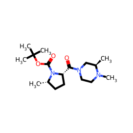 C[C@@H]1CN(C(=O)[C@@H]2CC[C@H](C)N2C(=O)OC(C)(C)C)CCN1C